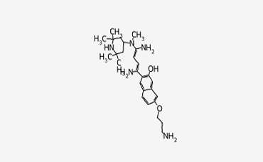 CN(/C(N)=C/C=C(\N)c1cc2ccc(OCCCN)cc2cc1O)C1CC(C)(C)NC(C)(C)C1